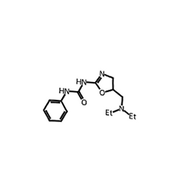 CCN(CC)CC1CN=C(NC(=O)Nc2ccccc2)O1